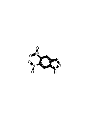 O=[N+]([O-])c1cc2nn[nH]c2cc1[N+](=O)[O-]